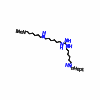 CCCCCCCNCCCCCCNC(=N)NCCCCCCNCCCCCCNC